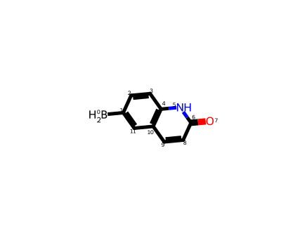 Bc1ccc2[nH]c(=O)ccc2c1